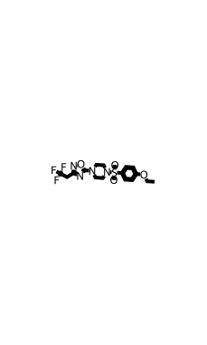 CCOc1ccc(S(=O)(=O)N2CCN(c3nc(CC(F)(F)F)no3)CC2)cc1